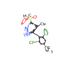 CS(=O)(=O)c1n[nH]c(-c2c(Cl)cc(C(F)(F)F)cc2Cl)c1C#N